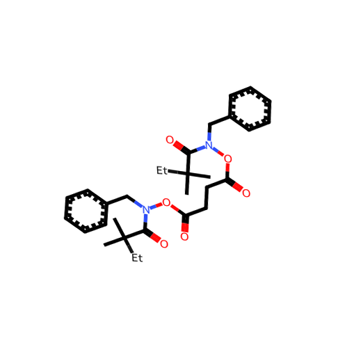 CCC(C)(C)C(=O)N(Cc1ccccc1)OC(=O)CCC(=O)ON(Cc1ccccc1)C(=O)C(C)(C)CC